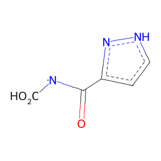 O=C(O)[N]C(=O)c1cc[nH]n1